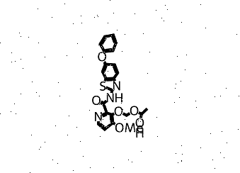 COc1ccnc(C(=O)Nc2nc3ccc(Oc4ccccc4)cc3s2)c1OCOC(C)O